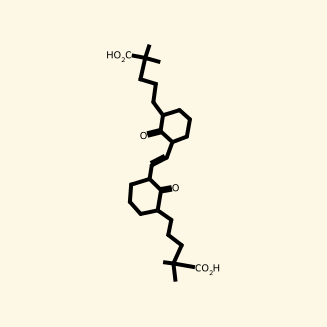 CC(C)(CCCC1CCCC(C=CC2CCCC(CCCC(C)(C)C(=O)O)C2=O)C1=O)C(=O)O